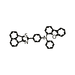 c1ccc(N(c2ccc(-c3nc4c(s3)-c3cccc5cccc-4c35)cc2)c2cccc3c2oc2ccccc23)cc1